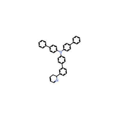 C1=CCC(c2cccc(-c3ccc(N(c4ccc(-c5ccccc5)cc4)c4ccc(-c5ccccc5)cc4)cc3)c2)N=C1